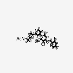 CC(=O)NC(C)(C)c1nc(-c2cc(N3C(=C=O)C(Cl)=C(OCc4ncc(F)cc4F)C=C3C)c(C)cn2)cs1